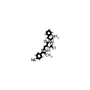 CCC(=O)NC(Cc1nc(C)c(-c2ccc(C#N)cc2)s1)C(=O)NC(CN)Cc1ccccc1